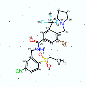 CCS(=O)(=O)c1ccc(Cl)cc1CNC(=O)c1cc(Br)c(CN2CCCC2)c(C(F)(F)F)c1